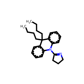 CCCCC1(CCCC)c2ccccc2N(C2=NCCC2)c2ccccc21